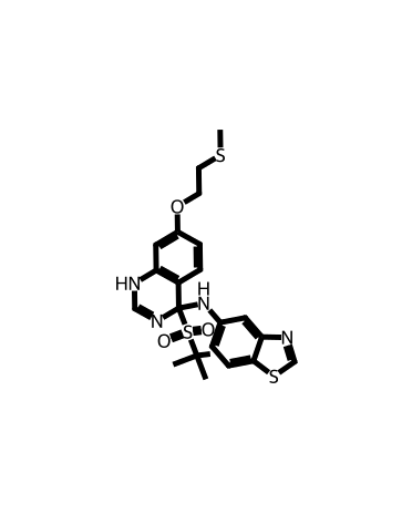 CSCCOc1ccc2c(c1)NC=NC2(Nc1ccc2scnc2c1)S(=O)(=O)C(C)(C)C